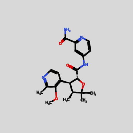 COc1c([C@H]2[C@H](C(=O)Nc3ccnc(C(N)=O)c3)OC(C)(C)[C@H]2C)ccnc1C